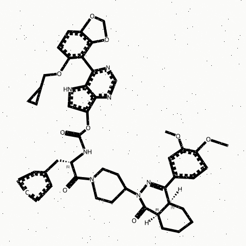 COc1ccc(C2=NN(C3CCN(C(=O)[C@H](Cc4ccccc4)NC(=O)Oc4c[nH]c5c(-c6c(OCC7CC7)ccc7c6OCO7)ncnc45)CC3)C(=O)[C@@H]3CCCC[C@H]23)cc1OC